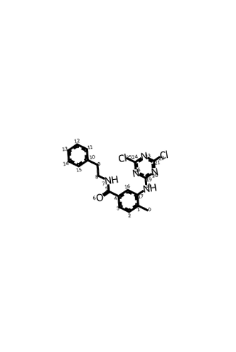 Cc1ccc(C(=O)NCCc2ccccc2)cc1Nc1nc(Cl)nc(Cl)n1